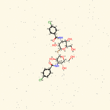 O=C(N[C@@H]1[C@@H](O)[C@@H](CO)O[C@@H](S[C@@H]2O[C@H](CO)[C@H](O)[C@@H](NC(=O)c3ccc(Cl)cc3)[C@H]2O)[C@@H]1O)c1ccc(Cl)cc1